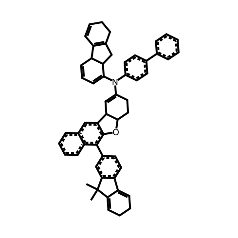 CC1(C)C2=CCCC=C2c2ccc(-c3c4c(cc5ccccc35)C3C=C(N(C5=CC=CC6C7=C(CCC=C7)CC56)c5ccc(-c6ccccc6)cc5)CCC3O4)cc21